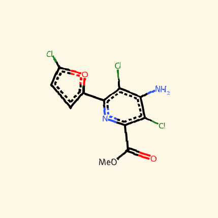 COC(=O)c1nc(-c2ccc(Cl)o2)c(Cl)c(N)c1Cl